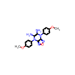 COc1ccc(N2C(N)=C(N)N(c3ccc(OC)cc3)c3nonc32)cc1